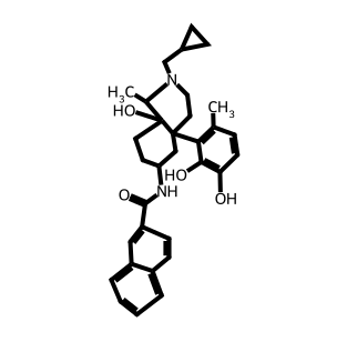 Cc1ccc(O)c(O)c1C12CCN(CC3CC3)C(C)C1(O)CCC(NC(=O)c1ccc3ccccc3c1)C2